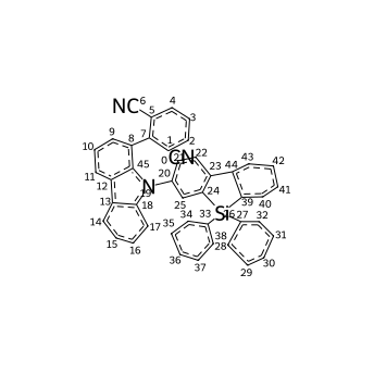 N#Cc1cccc(C#N)c1-c1cccc2c3ccccc3n(-c3ccc4c(c3)[Si](c3ccccc3)(c3ccccc3)c3ccccc3-4)c12